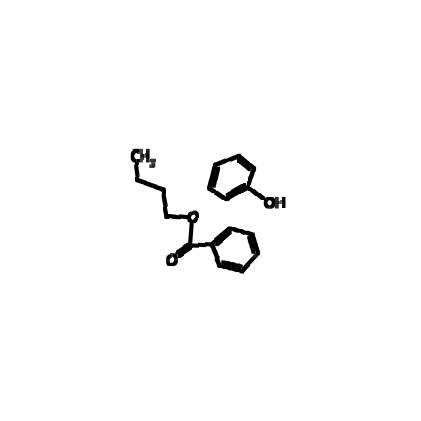 CCCCOC(=O)c1ccccc1.Oc1ccccc1